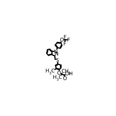 Cc1cc(SCc2nn(-c3ccc(OC(F)(F)F)cc3)c3ccccc23)ccc1OC(C)(C)C(=O)O